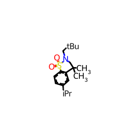 CC(C)c1ccc2c(c1)C(C)(C)CN(CC(C)(C)C)S2(=O)=O